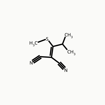 CSC(=C(C#N)C#N)C(C)C